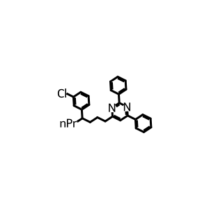 CCCC(CCCc1cc(-c2ccccc2)nc(-c2ccccc2)n1)c1cccc(Cl)c1